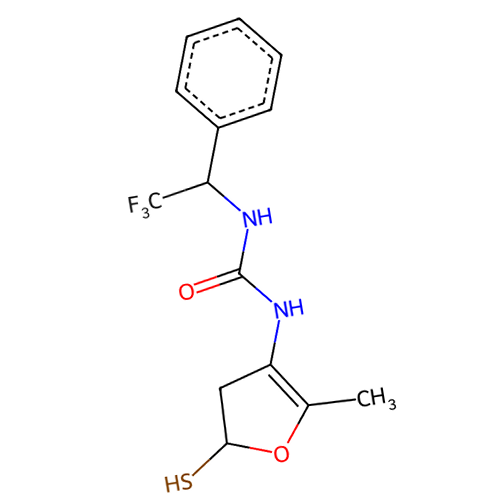 CC1=C(NC(=O)NC(c2ccccc2)C(F)(F)F)CC(S)O1